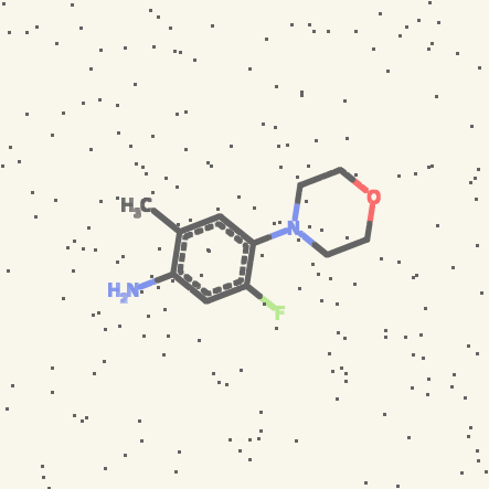 Cc1cc(N2CCOCC2)c(F)cc1N